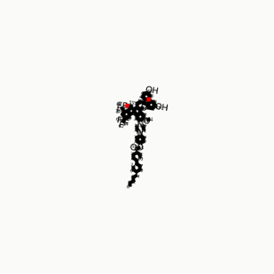 CCCCC[C@H]1CC[C@H]([C@H]2CC[C@H](C(=O)Oc3ccc(N4CCN(c5cc6c7c(c8c(c6cc5OC)OC(c5ccc(O)cc5)(c5ccc(O)cc5)C=C8)C(C)(C)c5c-7cc(C(F)(F)F)cc5C(F)(F)F)CC4)cc3)CC2)CC1